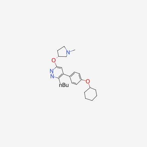 CCCCc1nnc(O[C@@H]2CCN(C)C2)cc1-c1ccc(OC2CCCCC2)cc1